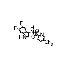 O=S(=O)(Nc1c[nH]c2cc(F)c(F)cc12)c1ccc(C(F)(F)F)cn1